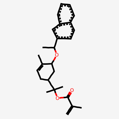 C=C(C)C(=O)OC(C)(C)C1CC=C(C)C(OC(C)c2ccc3ccccc3c2)C1